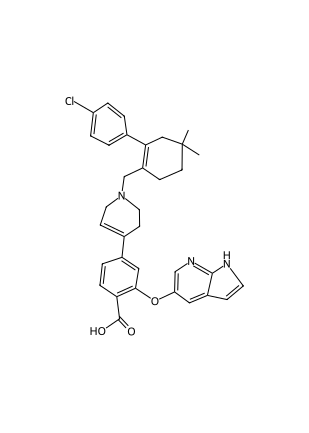 CC1(C)CCC(CN2CC=C(c3ccc(C(=O)O)c(Oc4cnc5[nH]ccc5c4)c3)CC2)=C(c2ccc(Cl)cc2)C1